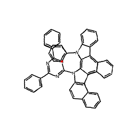 c1ccc(-c2nc(-c3ccccc3)nc(-n3c4ccc5ccccc5c4c4c5ccccc5c5c6ccccc6n(-c6ccccc6)c5c43)n2)cc1